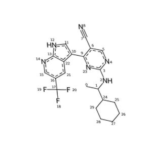 CC(Nc1ncc(C#N)c(-c2c[nH]c3ncc(C(F)(F)F)cc23)n1)C1CCCCC1